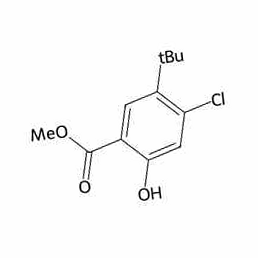 COC(=O)c1cc(C(C)(C)C)c(Cl)cc1O